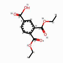 CCOC(=O)c1ccc(C(=O)O)cc1C(=O)OCC